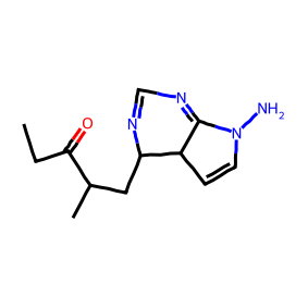 CCC(=O)C(C)CC1N=CN=C2C1C=CN2N